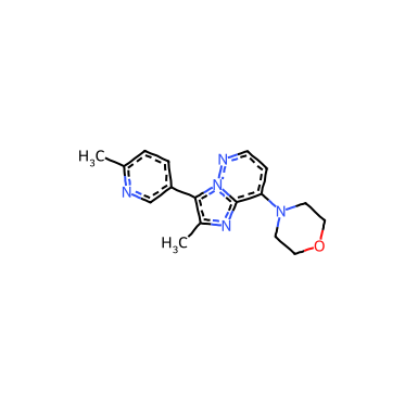 Cc1ccc(-c2c(C)nc3c(N4CCOCC4)ccnn23)cn1